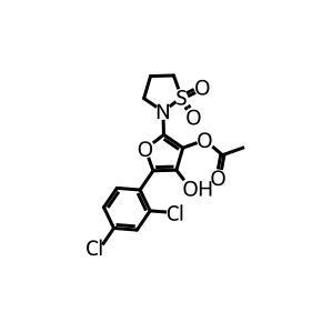 CC(=O)Oc1c(N2CCCS2(=O)=O)oc(-c2ccc(Cl)cc2Cl)c1O